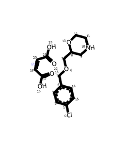 Clc1ccc(COCC2CNCCO2)cc1.O=C(O)/C=C\C(=O)O